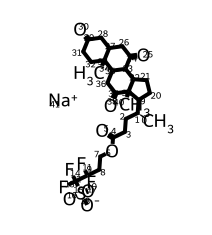 C[C@H](CCC(=O)OCCC(F)(F)C(F)(F)S(=O)(=O)[O-])C1CCC2C3C(=O)CC4CC(=O)CCC4(C)C3CC(=O)C21C.[Na+]